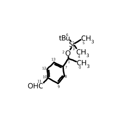 CC(O[Si](C)(C)C(C)(C)C)c1ccc(C=O)cc1